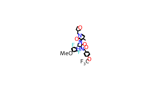 COc1cc(F)c([C@@H]2CN(c3c(C)ccn(CC4CCOC4)c3=O)C(=O)C2NC(=O)c2ccc(OC(F)(F)F)cc2)c(F)c1